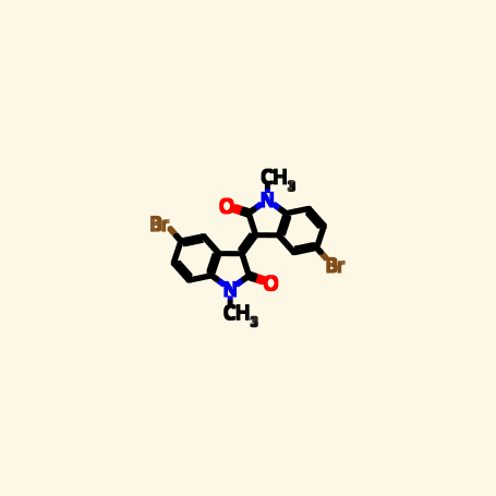 CN1C(=O)/C(=C2/C(=O)N(C)c3ccc(Br)cc32)c2cc(Br)ccc21